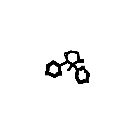 CC1(c2ccncn2)NCCOC1c1ccncn1